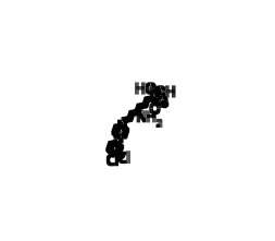 COC(=O)C(CCC[C@H](N)CCCN1CCN(c2ccc(Cl)c(Cl)c2)CC1)B(O)O